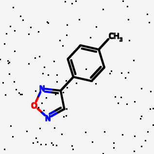 Cc1ccc(-c2[c]non2)cc1